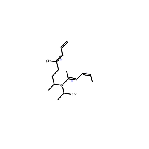 C=C/C=C(\CC)CCC(C)N(/C(C)=C/C=C\C)C(C)C(C)(C)C